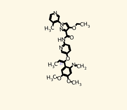 C=Nc1cc(OC)c(OC)cc1/C(=C\C)Oc1ccc(NC(=O)c2nn(-c3cnccc3C)cc2OCC)nc1